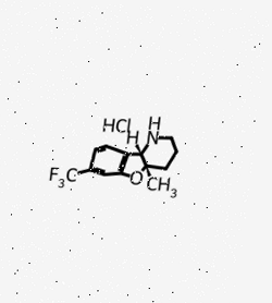 C[C@]12CCCN[C@H]1c1ccc(C(F)(F)F)cc1O2.Cl